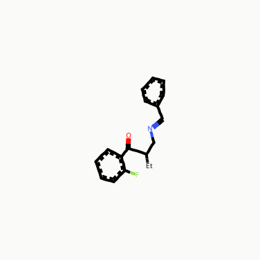 CCC(CN=Cc1ccccc1)C(=O)c1ccccc1F